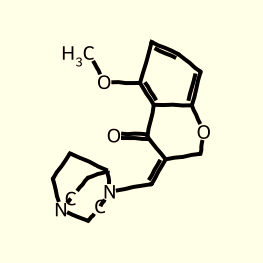 COc1cccc2c1C(=O)C(=CN1CCN3CCC1CC3)CO2